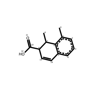 Cc1cccc2c1C(C)C(C(=O)O)C=C2